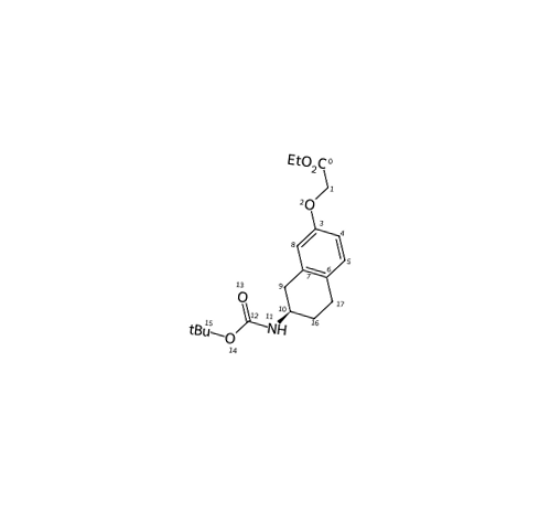 CCOC(=O)COc1ccc2c(c1)C[C@H](NC(=O)OC(C)(C)C)CC2